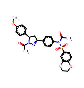 COc1ccc(C2CC(c3ccc(N(C(C)=O)S(=O)(=O)c4ccc5c(c4)OCCO5)cc3)=NN2C(C)=O)cc1